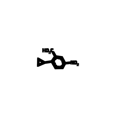 O=C(O)c1cc([N+](=O)[O-])ccc1C1CC1